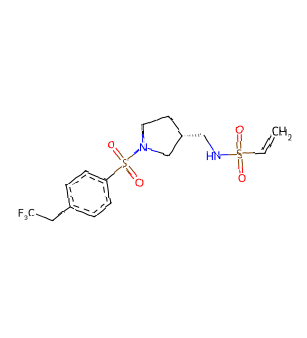 C=CS(=O)(=O)NC[C@H]1CCN(S(=O)(=O)c2ccc(CC(F)(F)F)cc2)C1